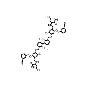 Cc1c(COc2cc(OCc3cccc(C#N)c3)c(CNC(CCO)C(=O)O)cc2Cl)cccc1-c1cccc(COc2cc(OCc3cccc(C#N)c3)c(CNC(CCO)C(=O)O)cc2Cl)c1C